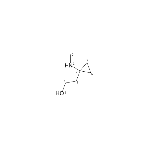 CNC1(CCO)CC1